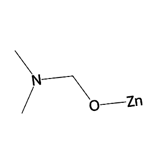 CN(C)C[O][Zn]